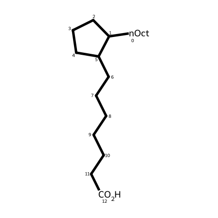 CCCCCCCCC1CCCC1CCCCCCC(=O)O